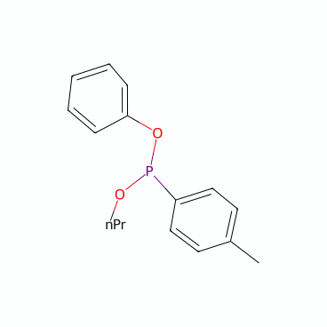 CCCOP(Oc1ccccc1)c1ccc(C)cc1